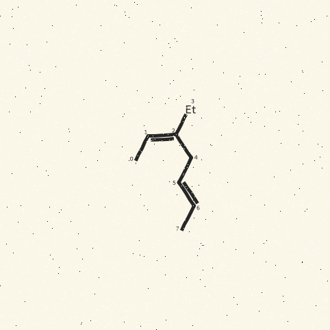 [CH2]C=C(CC)CC=CC